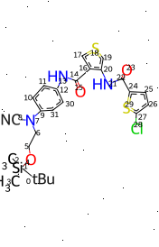 CC(C)(C)[Si](C)(C)OCCN(C#N)c1ccc(NC(=O)c2cscc2NC(=O)c2ccc(Cl)s2)cc1